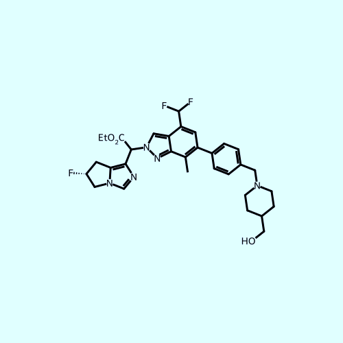 CCOC(=O)C(c1ncn2c1C[C@@H](F)C2)n1cc2c(C(F)F)cc(-c3ccc(CN4CCC(CO)CC4)cc3)c(C)c2n1